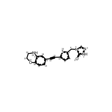 O=c1[nH]ncn1Cc1ccc(C#Cc2ccc3c(c2)NCCO3)s1